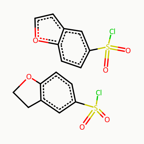 O=S(=O)(Cl)c1ccc2c(c1)CCO2.O=S(=O)(Cl)c1ccc2occc2c1